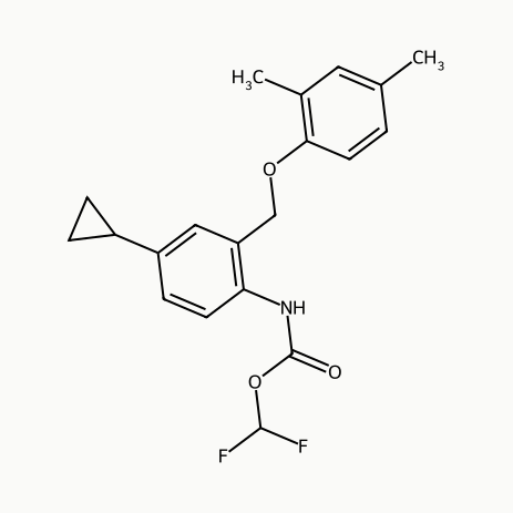 Cc1ccc(OCc2cc(C3CC3)ccc2NC(=O)OC(F)F)c(C)c1